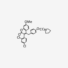 COc1ccc2c(Cc3ccc(OCCN4CCCC4)cc3)c(-c3ccc(Cl)cc3Cl)c(=O)oc2c1